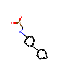 O=[SH](=O)CNc1ccc(-c2cc[c]cc2)cc1